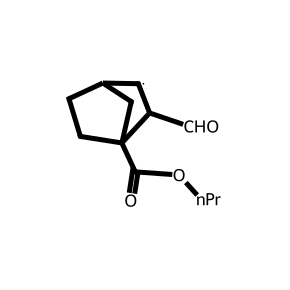 CCCOC(=O)C12CCC([CH]C1C=O)C2